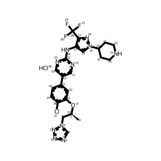 C[C@@H](Cn1cnnn1)Oc1cc(-c2cnc(Nc3cn(C4CCNCC4)nc3C(F)(F)F)nc2)ccc1Cl.Cl